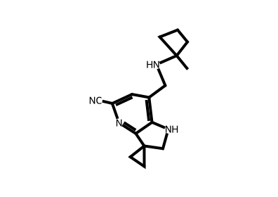 CC1(NCc2cc(C#N)nc3c2NCC32CC2)CCC1